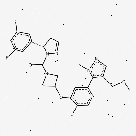 COCc1cnn(C)c1-c1cc(OC2CN(C(=O)N3N=CC[C@H]3c3cc(F)cc(F)c3)C2)c(F)cn1